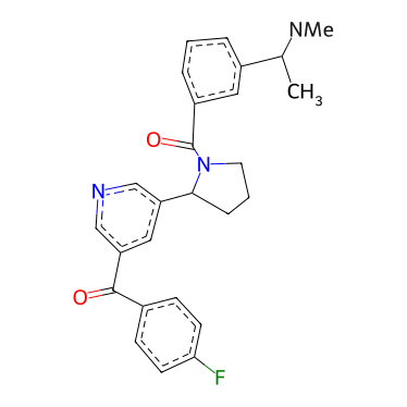 CNC(C)c1cccc(C(=O)N2CCCC2c2cncc(C(=O)c3ccc(F)cc3)c2)c1